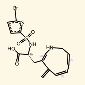 C=C1/C=C\C=C/CN/C=C\1C[C@@H](NS(=O)(=O)c1ccc(Br)s1)C(=O)O